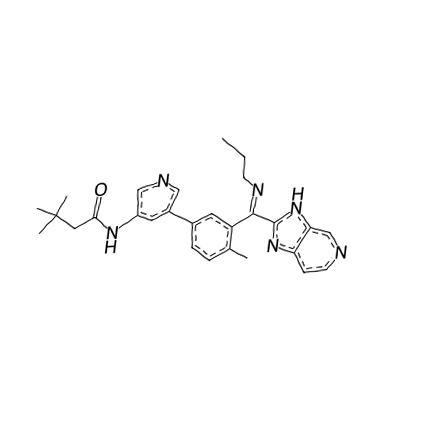 CCC/N=C(/c1nc2ccncc2[nH]1)c1cc(-c2cncc(NC(=O)CC(C)(C)C)c2)ccc1C